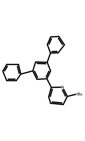 CC(C)(C)c1cccc(-c2cc(-c3ccccc3)cc(-c3ccccc3)c2)n1